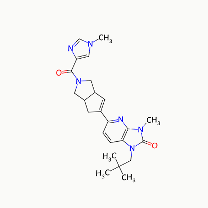 Cn1cnc(C(=O)N2CC3C=C(c4ccc5c(n4)n(C)c(=O)n5CC(C)(C)C)CC3C2)c1